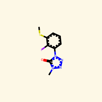 CSc1cccc(-n2nnn(C)c2=O)c1I